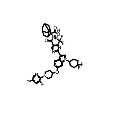 O=C(NC1(C(=O)O)C2CC3CC(C2)CC1C3)c1cnc(-c2cn(C3CCC(F)(F)CC3)c3cc(OC4CCN(c5ncc(F)cc5F)CC4)ccc23)nc1C(F)(F)F